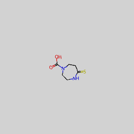 O=C(O)N1CCNC(=S)CC1